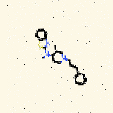 C[C@H]1CN(CC=Cc2ccccc2)CC[C@H]1N(C)c1nc2ccccc2s1